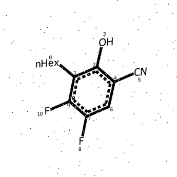 CCCCCCc1c(O)c(C#N)cc(F)c1F